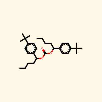 CCCCC(OC(=O)OC(CCCC)c1ccc(C(C)(C)C)cc1)c1ccc(C(C)(C)C)cc1